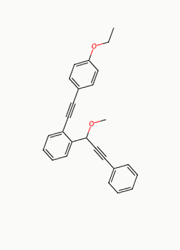 CCOc1ccc(C#Cc2ccccc2C(C#Cc2ccccc2)OC)cc1